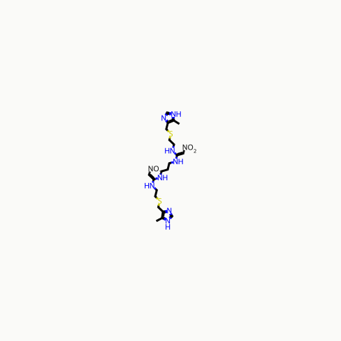 Cc1[nH]cnc1CSCCNC(=C[N+](=O)[O-])NCCCNC(=C[N+](=O)[O-])NCCSCc1nc[nH]c1C